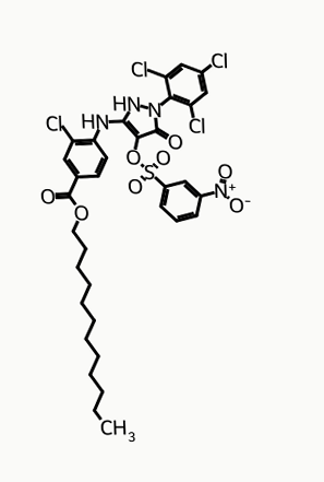 CCCCCCCCCCCCOC(=O)c1ccc(Nc2[nH]n(-c3c(Cl)cc(Cl)cc3Cl)c(=O)c2OS(=O)(=O)c2cccc([N+](=O)[O-])c2)c(Cl)c1